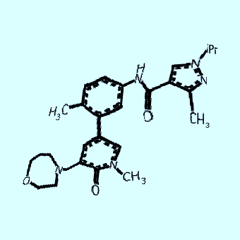 Cc1ccc(NC(=O)c2cn(C(C)C)nc2C)cc1-c1cc(N2CCOCC2)c(=O)n(C)c1